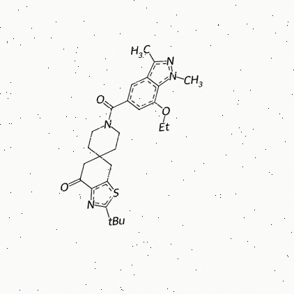 CCOc1cc(C(=O)N2CCC3(CC2)CC(=O)c2nc(C(C)(C)C)sc2C3)cc2c(C)nn(C)c12